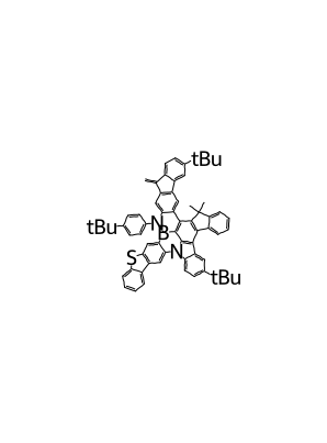 C=C1c2ccc(C(C)(C)C)cc2-c2cc3c(cc21)N(c1ccc(C(C)(C)C)cc1)B1c2cc4sc5ccccc5c4cc2-n2c4ccc(C(C)(C)C)cc4c4c5c(c-3c1c42)C(C)(C)c1ccccc1-5